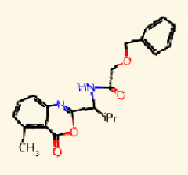 Cc1cccc2nc(C(NC(=O)COCc3ccccc3)C(C)C)oc(=O)c12